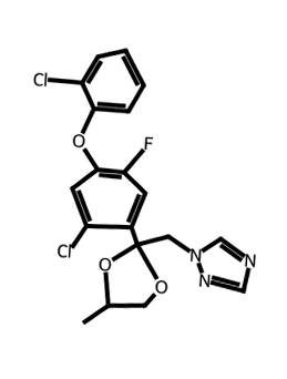 CC1COC(Cn2cncn2)(c2cc(F)c(Oc3ccccc3Cl)cc2Cl)O1